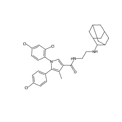 Cc1c(C(=O)NCCNC2C3CC4CC(C3)CC2C4)cn(-c2ccc(Cl)cc2Cl)c1-c1ccc(Cl)cc1